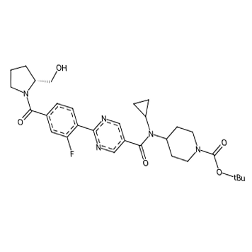 CC(C)(C)OC(=O)N1CCC(N(C(=O)c2cnc(-c3ccc(C(=O)N4CCC[C@@H]4CO)cc3F)nc2)C2CC2)CC1